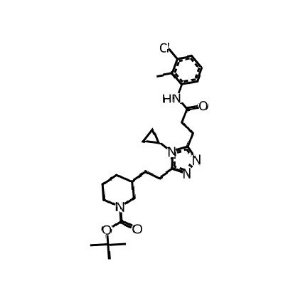 Cc1c(Cl)cccc1NC(=O)CCc1nnc(CCC2CCCN(C(=O)OC(C)(C)C)C2)n1C1CC1